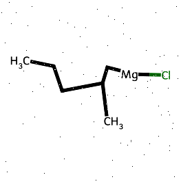 CCCC(C)[CH2][Mg][Cl]